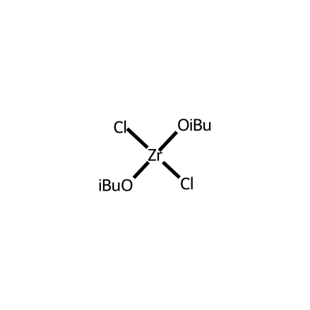 CC(C)C[O][Zr]([Cl])([Cl])[O]CC(C)C